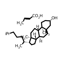 C/C=C/C(=O)O.CC(C)CCCC(C)[C@H]1CC[C@H]2[C@@H]3CC=C4C[C@@H](O)CC[C@]4(C)[C@H]3CC[C@]12C